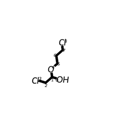 OC(CCl)OCCCCl